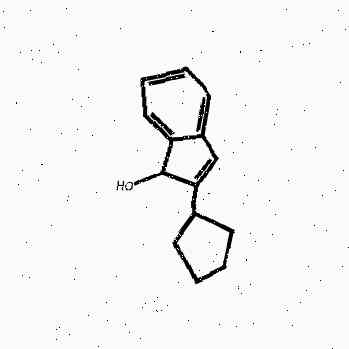 OC1C(C2CCCC2)=Cc2ccccc21